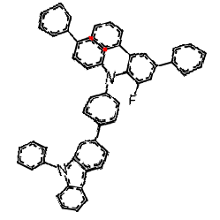 Fc1cc(-c2ccccc2)cc(-c2ccccc2)c1N(c1ccc(-c2ccccc2)cc1)c1ccc(-c2ccc3c4ccccc4n(-c4ccccc4)c3c2)cc1